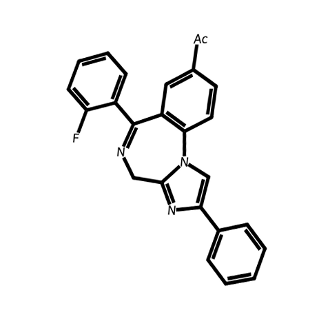 CC(=O)c1ccc2c(c1)C(c1ccccc1F)=NCc1nc(-c3ccccc3)cn1-2